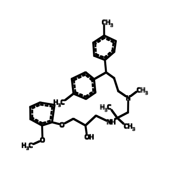 COc1ccccc1OCC(O)CNC(C)(C)CN(C)CCC(c1ccc(C)cc1)c1ccc(C)cc1